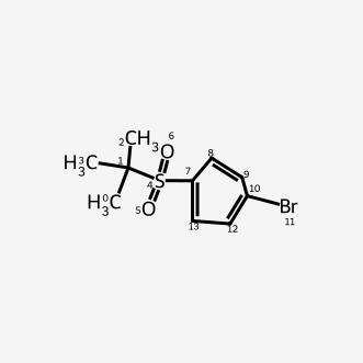 CC(C)(C)S(=O)(=O)c1ccc(Br)cc1